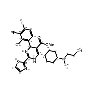 COC(=O)C1=C([C@H]2CC[C@H](N(CCO)C(C)=O)CC2)NC(c2nccs2)=NC1c1ccc(F)c(F)c1Cl